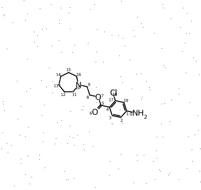 Nc1ccc(C(=O)OCCN2CCCCCC2)c(Cl)c1